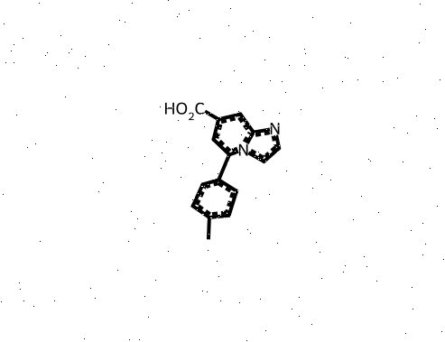 Cc1ccc(-c2cc(C(=O)O)cc3nccn23)cc1